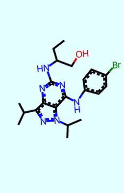 CCC(CO)Nc1nc(Nc2ccc(Br)cc2)c2c(n1)c(C(C)C)nn2C(C)C